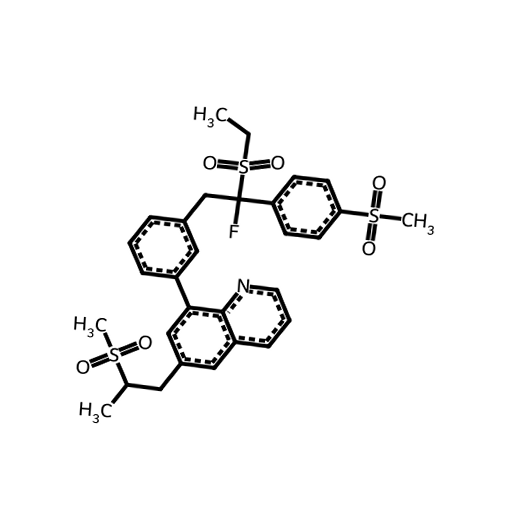 CCS(=O)(=O)C(F)(Cc1cccc(-c2cc(CC(C)S(C)(=O)=O)cc3cccnc23)c1)c1ccc(S(C)(=O)=O)cc1